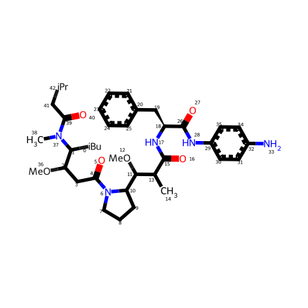 CCC(C)C(C(CC(=O)N1CCCC1C(OC)C(C)C(=O)N[C@@H](Cc1ccccc1)C(=O)Nc1ccc(N)cc1)OC)N(C)C(=O)CC(C)C